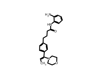 CC=C(c1ccc(CCCC(=O)Nc2ccccc2N)cc1)N1CCOCC1